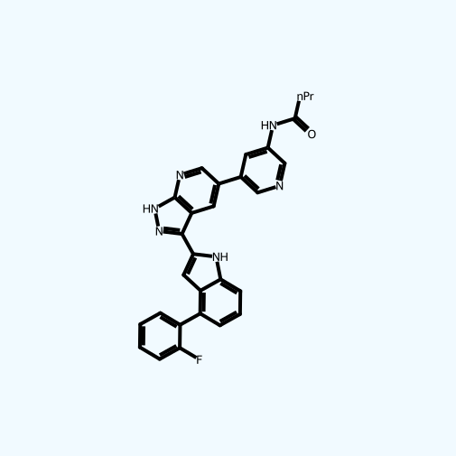 CCCC(=O)Nc1cncc(-c2cnc3[nH]nc(-c4cc5c(-c6ccccc6F)cccc5[nH]4)c3c2)c1